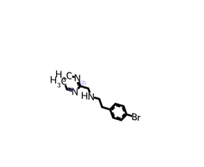 C/C=N\C(CNCCc1ccc(Br)cc1)=N/C